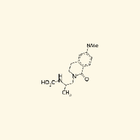 CNc1ccc2c(c1)CCN(CC(C)NC(=O)O)C2=O